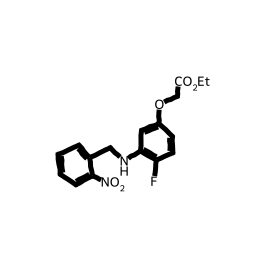 CCOC(=O)COc1ccc(F)c(NCc2ccccc2[N+](=O)[O-])c1